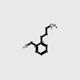 CCCCc1ccccc1C[S]